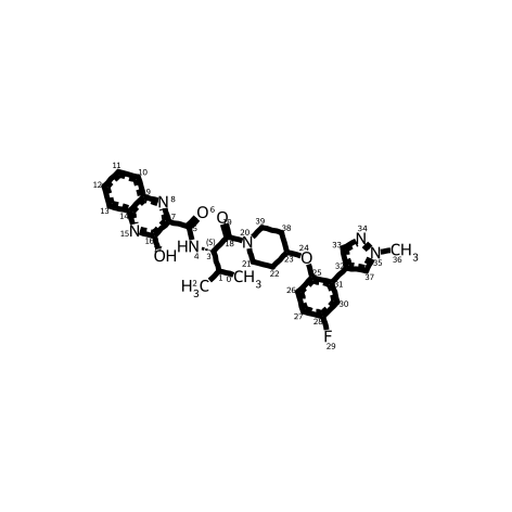 CC(C)[C@H](NC(=O)c1nc2ccccc2nc1O)C(=O)N1CCC(Oc2ccc(F)cc2-c2cnn(C)c2)CC1